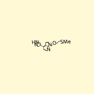 CSCCOCn1ccc2c(-c3cn[nH]c3)ccnc21